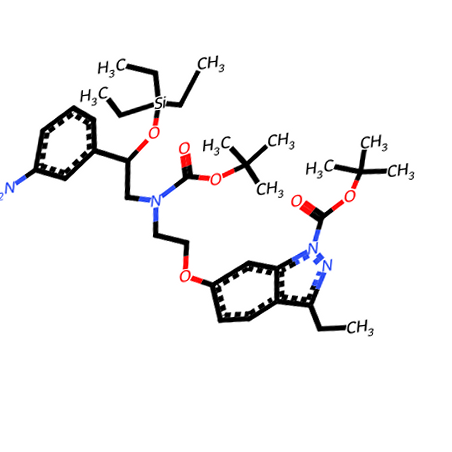 CCc1nn(C(=O)OC(C)(C)C)c2cc(OCCN(CC(O[Si](CC)(CC)CC)c3cccc(N)c3)C(=O)OC(C)(C)C)ccc12